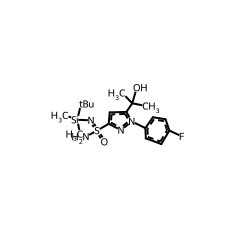 CC(C)(O)c1cc(S(N)(=O)=N[Si](C)(C)C(C)(C)C)nn1-c1ccc(F)cc1